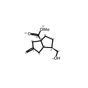 C=C1CC2[C@H](CO)CC[C@@]2(C(=O)OC)C1